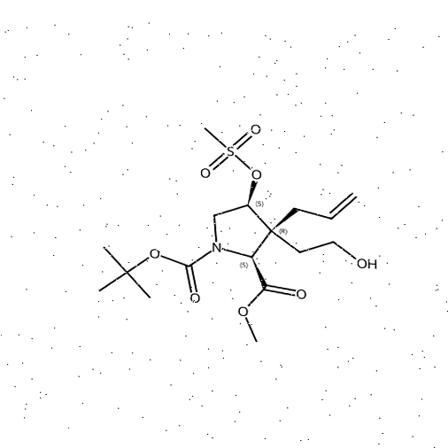 C=CC[C@]1(CCO)[C@H](OS(C)(=O)=O)CN(C(=O)OC(C)(C)C)[C@@H]1C(=O)OC